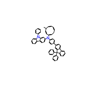 CC1/C=C\C=C/C/C=C(N(c2ccc(-c3ccc4c(c3)C(c3ccccc3)(c3ccccc3)c3ccccc3-4)cc2)c2ccc3c4ccccc4n(-c4ccccc4)c3c2)\C=C/1